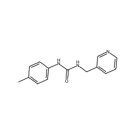 [CH2]c1ccc(NC(=O)NCc2cccnc2)cc1